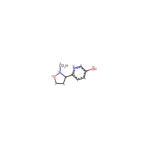 O=C(O)N1OCCC1c1ccc(O)cn1